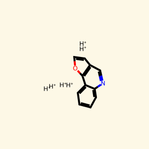 [H+].[H+].[H+].[H+].[H+].[H+].c1ccc2c(c1)ncc1ccoc12